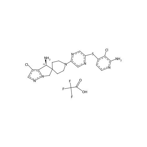 Nc1nccc(Sc2cnc(N3CCC4(CC3)Cn3ncc(Cl)c3[C@H]4N)cn2)c1Cl.O=C(O)C(F)(F)F